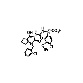 CC(C)Oc1cc([C@H](CC(=O)O)NC(=O)Nc2c(O)c3c(n(Cc4ccccc4Cl)c2=O)CCC3)ccc1Cl